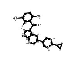 Nc1ccc(O)c(C(=O)c2c[nH]c3ncc(-c4cnc(C5CC5)nc4)cc23)c1F